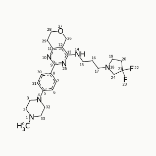 CN1CCN(c2ccc(-c3nc4c(c(NCCCN5CCC(F)(F)C5)n3)COCC4)cc2)CC1